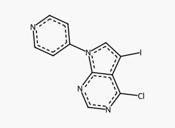 Clc1ncnc2c1c(I)cn2-c1ccncc1